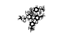 CC(C)(C)OC(=O)N1C[C@@H](NS(=O)(=O)c2ccc(OC(F)(F)F)cc2)[C@H](O)[C@@H](N2c3ccc(C(F)(F)F)cc3Oc3cc(C(F)(F)F)ccc32)C1